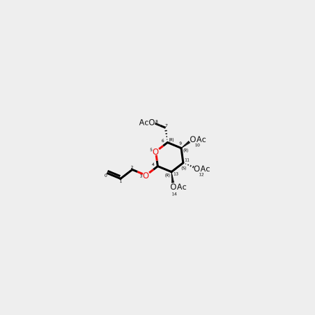 C=CCOC1O[C@H](COC(C)=O)[C@@H](OC(C)=O)[C@H](OC(C)=O)[C@H]1OC(C)=O